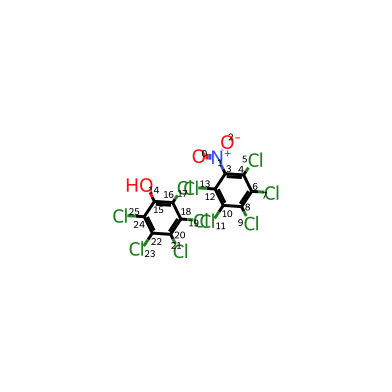 O=[N+]([O-])c1c(Cl)c(Cl)c(Cl)c(Cl)c1Cl.Oc1c(Cl)c(Cl)c(Cl)c(Cl)c1Cl